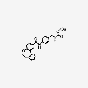 CC(C)(C)OC(=O)NCc1ccc(NC(=O)c2ccc3c(c2)-c2sccc2CCO3)cc1